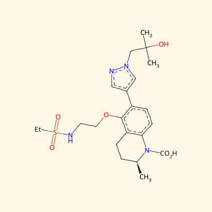 CCS(=O)(=O)NCCOc1c(-c2cnn(CC(C)(C)O)c2)ccc2c1CC[C@H](C)N2C(=O)O